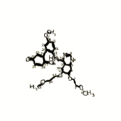 COCCOc1cc2ncnc(Nc3ccc(OC)cc3C3=CC(=O)C=CC3=O)c2cc1OCCOC